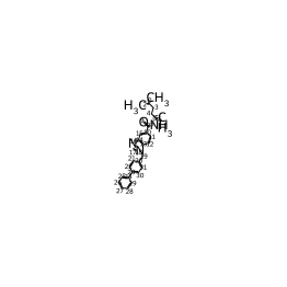 CC(C)CC[C@H](C)NC(=O)c1ccc2c(c1)ncn2Cc1ccc(-c2ccccc2)cc1